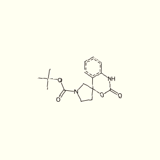 CC(C)(C)OC(=O)N1CCC2(C1)OC(=O)Nc1ccccc12